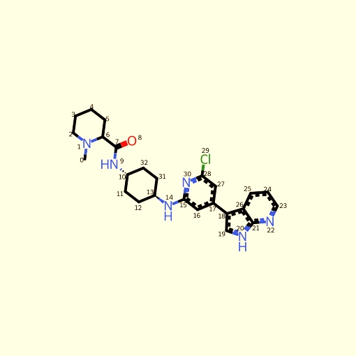 CN1CCCCC1C(=O)N[C@H]1CC[C@H](Nc2cc(-c3c[nH]c4ncccc34)cc(Cl)n2)CC1